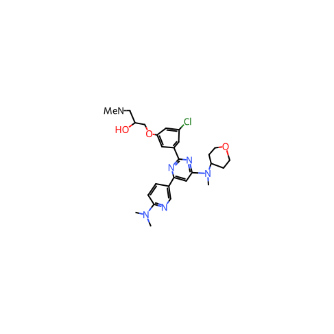 CNCC(O)COc1cc(Cl)cc(-c2nc(-c3ccc(N(C)C)nc3)cc(N(C)C3CCOCC3)n2)c1